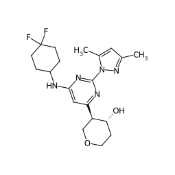 Cc1cc(C)n(-c2nc(NC3CCC(F)(F)CC3)cc([C@@H]3COCC[C@H]3O)n2)n1